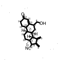 C=C1C(=C)[C@H]2[C@@H]3CC(CO)C4=CC(=O)CC[C@]4(C)[C@@H]3CC[C@]2(C)C1C#N